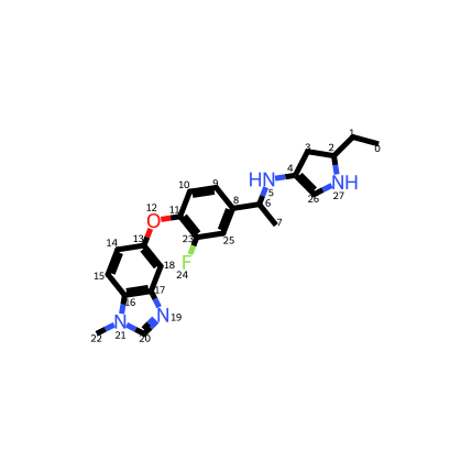 CCC1CC(NC(C)c2ccc(Oc3ccc4c(c3)ncn4C)c(F)c2)=CN1